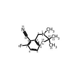 CN(Cc1cccc(F)c1C#N)C(C)(C)C